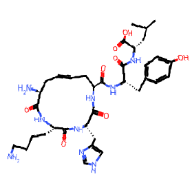 CC(C)C[C@H](NC(=O)[C@H](Cc1ccc(O)cc1)NC(=O)[C@@H]1C/C=C/C[C@H](N)C(=O)N[C@@H](CCCCN)C(=O)N[C@@H](Cc2c[nH]cn2)C(=O)N1)C(=O)O